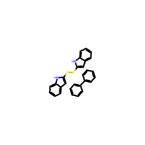 c1ccc(-c2ccccc2)cc1.c1ccc2[nH]c(SSc3cc4ccccc4[nH]3)cc2c1